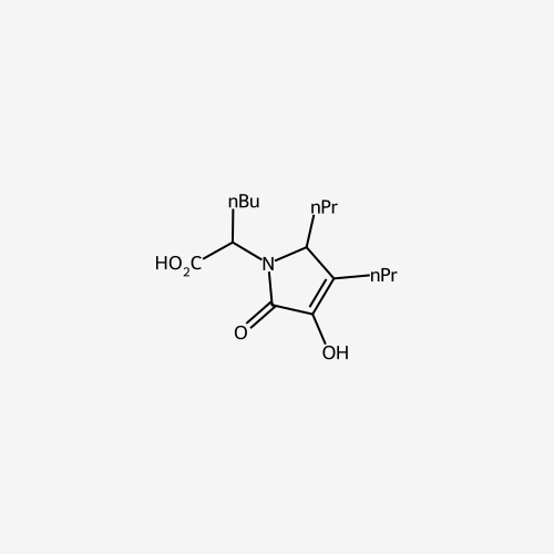 CCCCC(C(=O)O)N1C(=O)C(O)=C(CCC)C1CCC